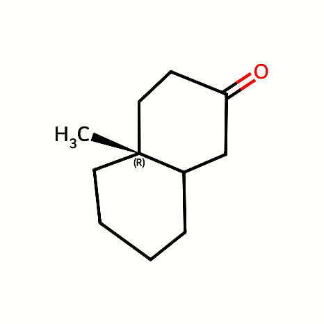 C[C@]12CCCCC1CC(=O)CC2